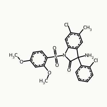 COc1ccc(S(=O)(=O)N2C(=O)C(N)(c3ccccc3Cl)c3cc(C)c(Cl)cc32)c(OC)c1